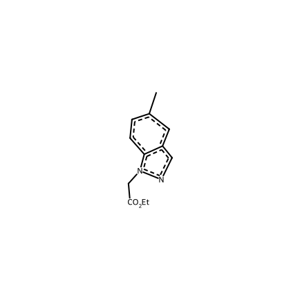 CCOC(=O)Cn1ncc2cc(C)ccc21